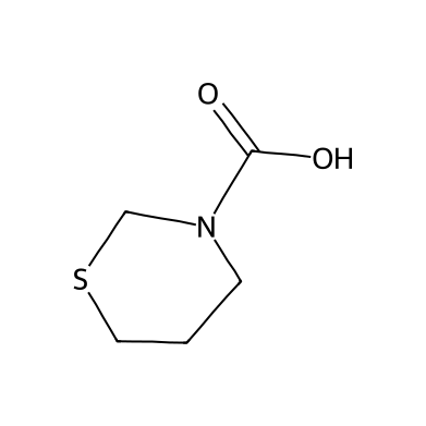 O=C(O)N1CCCSC1